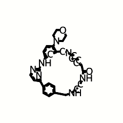 O=C1NCCNCc2ccc(cc2)-c2ccnc(n2)Nc2ccc(N3CCOCC3)c(c2)CN2CCC1CC2